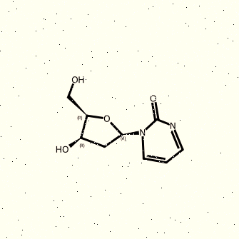 O=c1ncccn1[C@H]1C[C@@H](O)[C@@H](CO)O1